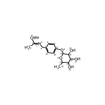 CO/C(C)=N/Cc1ccc(OC2OC(C)C(O)C(O)C2O)cc1